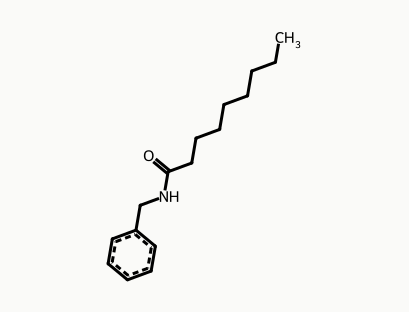 CCCCCCCCC(=O)NCc1ccccc1